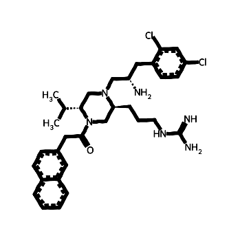 CC(C)[C@@H]1CN(C[C@@H](N)Cc2ccc(Cl)cc2Cl)[C@@H](CCCNC(=N)N)CN1C(=O)Cc1ccc2ccccc2c1